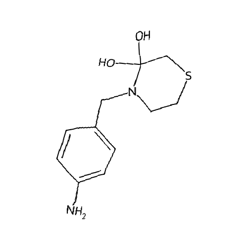 Nc1ccc(CN2CCSCC2(O)O)cc1